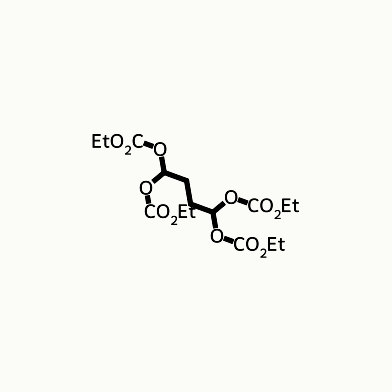 CCOC(=O)OC(CCC(OC(=O)OCC)OC(=O)OCC)OC(=O)OCC